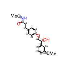 CONC(=O)CCc1ccc(OCC(O)c2cccc(OC)c2)cc1